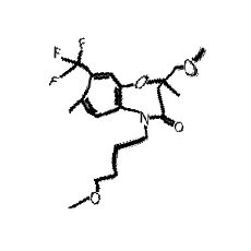 COCCCCN1C(=O)C(C)(COC)Oc2cc(C(F)(F)F)c(C)cc21